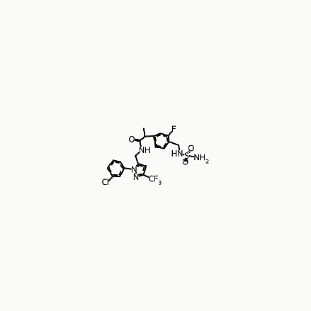 CC(C(=O)NCc1cc(C(F)(F)F)nn1-c1cccc(Cl)c1)c1ccc(CNS(N)(=O)=O)c(F)c1